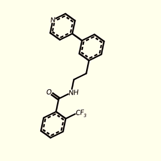 O=C(NCCc1cccc(-c2ccncc2)c1)c1ccccc1C(F)(F)F